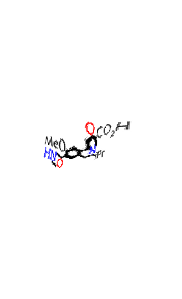 COc1cc2c(cc1C1CNCCO1)CC(C(C)C)n1cc(C(=O)O)c(=O)cc1-2